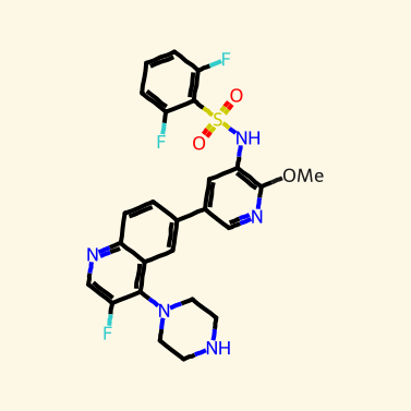 COc1ncc(-c2ccc3ncc(F)c(N4CCNCC4)c3c2)cc1NS(=O)(=O)c1c(F)cccc1F